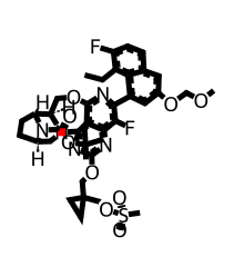 CCc1c(F)ccc2cc(OCOC)cc(-c3nc4c5c(nc(OCC6(COS(C)(=O)=O)CC6)nc5c3F)N3C[C@H]5CC[C@@H]([C@H]3CO4)N5C(=O)OC(C)(C)C)c12